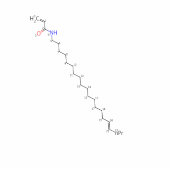 C=CC(=O)NCCCCCCCCCCCCCCC/C=C/CCC